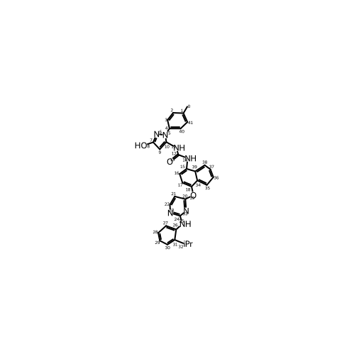 Cc1ccc(-n2nc(O)cc2NC(=O)Nc2ccc(Oc3ccnc(Nc4ccccc4C(C)C)n3)c3ccccc23)cc1